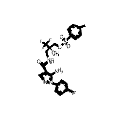 Cc1ccc(S(=O)(=O)OC[C@](O)(CNC(=O)c2cnn(-c3ccc(F)cc3)c2N)C(F)(F)F)cc1